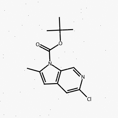 Cc1cc2cc(Cl)ncc2n1C(=O)OC(C)(C)C